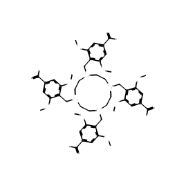 COc1cc(C(=O)O)cc(OC)c1CN1CCN(Cc2c(OC)cc(C(=O)O)cc2OC)CCN(Cc2c(OC)cc(C(=O)O)cc2OC)CCN(Cc2c(OC)cc(C(=O)O)cc2OC)CC1